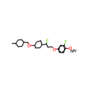 CCCOc1ccc(OCCC(F)C2CCC(OCC3CCC(C)CC3)CC2)cc1F